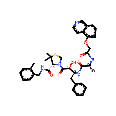 Cc1ccccc1CNC(=O)[C@H]1N(C(=O)[C@@H](O)[C@H](Cc2ccccc2)NC(=O)[C@@H](NC(=O)COc2cccc3cnccc23)C(C)C)CSC1(C)C